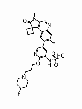 CN1C(=O)C2(CCC2)c2c1cnc1cc(F)c(-c3cnc(OCCCN4CCC(F)CC4)c(NS(C)(=O)=O)c3)cc21.Cl